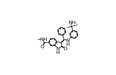 CNC(=O)c1ccc2c(c1)NC(=O)/C2=C(\Nc1cccc(C(C)(C)N)c1)c1ccccc1